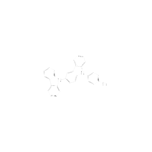 Brc1ccc(-n2c3ccccc3c3cc(-n4c5ccccc5c5ccccc54)ccc32)cc1